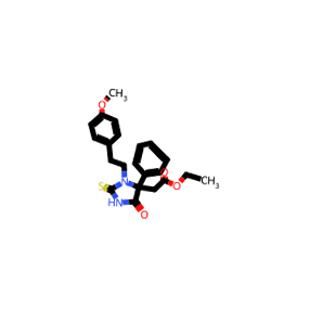 CCOC(=O)CC1(c2ccccc2)C(=O)NC(=S)N1CCc1ccc(OC)cc1